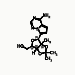 CC1(C)O[C@@H]2[C@@H](CO)O[C@@H](c3ccc4c(N)ncnn34)[C@]2(C)O1